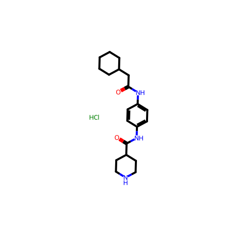 Cl.O=C(CC1CCCCC1)Nc1ccc(NC(=O)C2CCNCC2)cc1